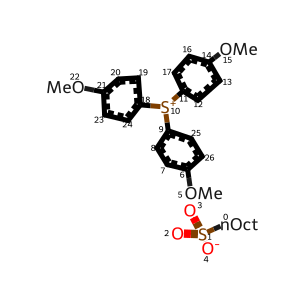 CCCCCCCCS(=O)(=O)[O-].COc1ccc([S+](c2ccc(OC)cc2)c2ccc(OC)cc2)cc1